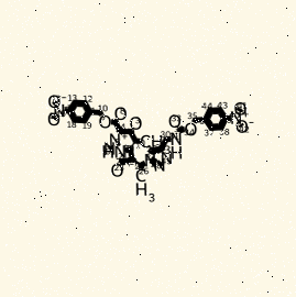 CC(C(=O)C(=[N+]=[N-])C(=O)OCc1ccc([N+](=O)[O-])cc1)[C@H]1NC(=O)[C@@H]1C(C)n1cc(CNC(=O)OCc2ccc([N+](=O)[O-])cc2)nn1